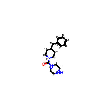 O=C(N1CCNCC1)N1CCC(Cc2ccccc2)CC1